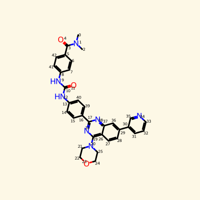 CN(C)C(=O)c1ccc(NC(=O)Nc2ccc(-c3nc(N4CCOCC4)c4ccc(-c5cccnc5)cc4n3)cc2)cc1